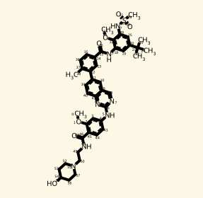 COc1cc(Nc2ncc3cc(-c4cc(C(=O)Nc5cc(C(C)(C)C)cc(NS(C)(=O)=O)c5OC)ccc4C)ccc3n2)ccc1C(=O)NCCN1CCC(O)CC1